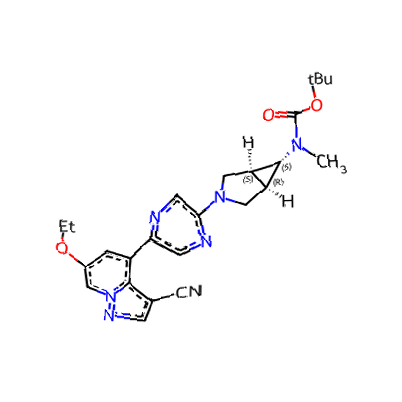 CCOc1cc(-c2cnc(N3C[C@@H]4[C@H](C3)[C@H]4N(C)C(=O)OC(C)(C)C)cn2)c2c(C#N)cnn2c1